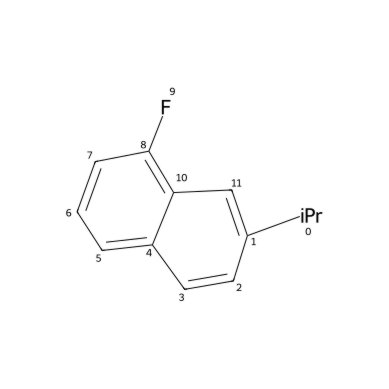 CC(C)c1ccc2cccc(F)c2c1